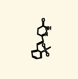 CS(=O)(=O)c1ccccc1C=CC1=NNC(=O)CC1